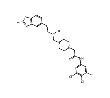 Cc1nc2cc(OCC(O)CN3CCN(CC(=O)Nc4cc(Cl)c(Cl)c(Cl)c4)CC3)ccc2s1